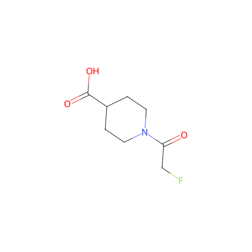 O=C(O)C1CCN(C(=O)CF)CC1